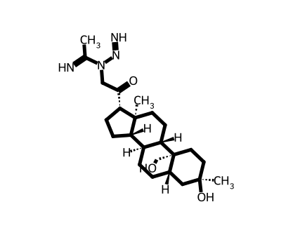 CC(=N)N(CC(=O)[C@H]1CC[C@H]2[C@@H]3CC[C@H]4C[C@](C)(O)CC[C@]4(CO)[C@H]3CC[C@]12C)N=N